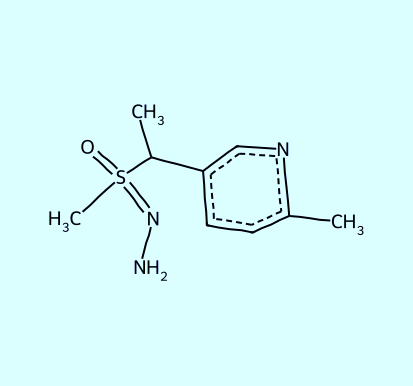 Cc1ccc(C(C)S(C)(=O)=NN)cn1